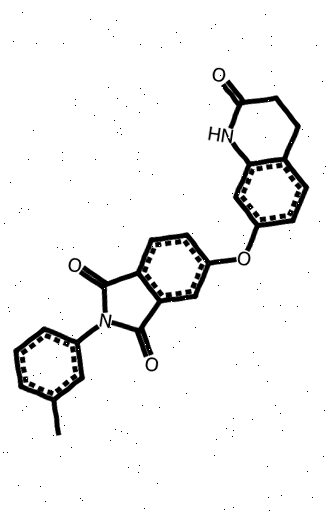 Cc1cccc(N2C(=O)c3ccc(Oc4ccc5c(c4)NC(=O)CC5)cc3C2=O)c1